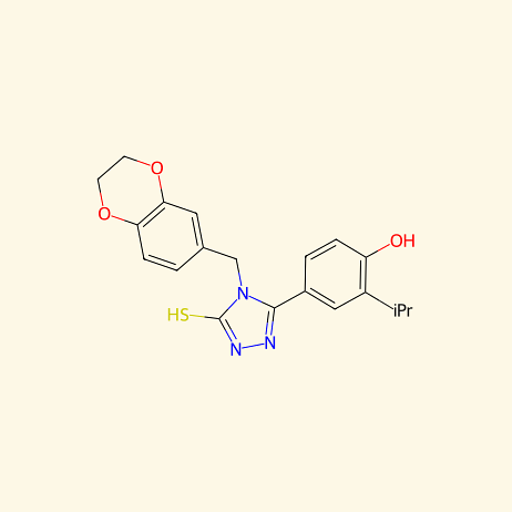 CC(C)c1cc(-c2nnc(S)n2Cc2ccc3c(c2)OCCO3)ccc1O